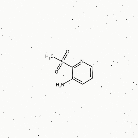 CS(=O)(=O)c1ncccc1N